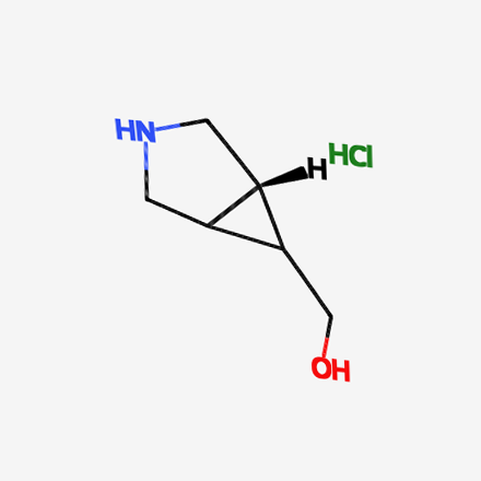 Cl.OCC1C2CNC[C@H]12